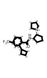 O=C(N[C@H]1CCC[C@H]1N1CCCC1)c1ccc(C(F)(F)F)cc1C1CCC1